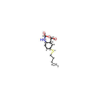 CCCCSc1ccc2[nH]c(=O)oc(=O)c2c1